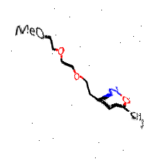 COCCOCCOCCc1cc(C)on1